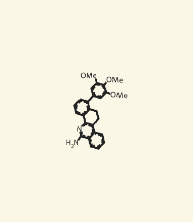 COc1cc(-c2cccc3c2CCc2c-3nc(N)c3ccccc23)cc(OC)c1OC